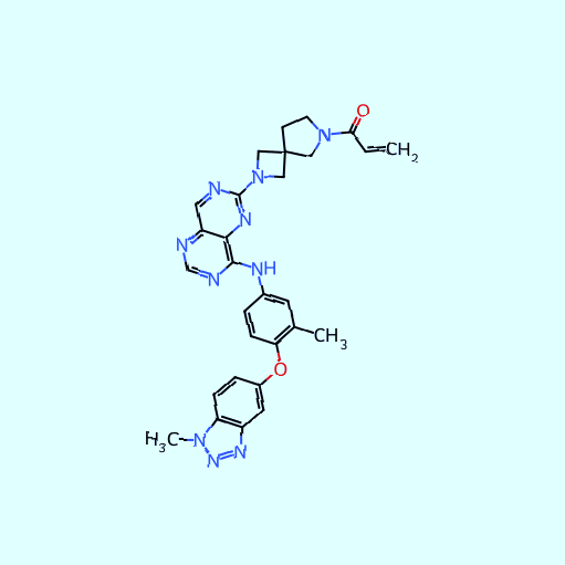 C=CC(=O)N1CCC2(C1)CN(c1ncc3ncnc(Nc4ccc(Oc5ccc6c(c5)nnn6C)c(C)c4)c3n1)C2